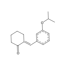 CC(C)Oc1cccc(C=C2CCCCC2=O)c1